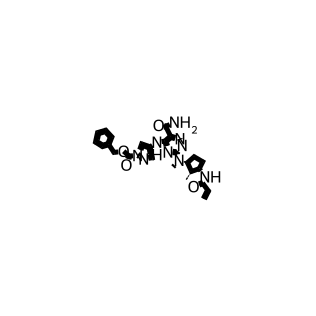 C=CC(=O)NC1CC[C@@H](N(C)c2nnc(C(N)=O)c(Nc3cnn(C(=O)OCc4ccccc4)c3)n2)[C@H]1C